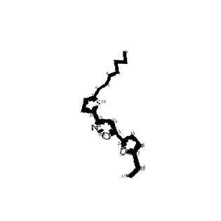 CCCCCCCc1ccc(-c2cc(-c3ccc(CC)o3)on2)s1